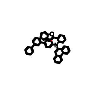 c1ccc(-c2cccc(-c3ccc(N(c4ccccc4-c4cc5ccccc5o4)c4cc5ccccc5c5ccccc45)cc3)c2)cc1